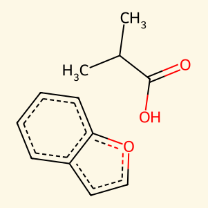 CC(C)C(=O)O.c1ccc2occc2c1